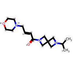 CC(C)N1CC2(CN(C(=O)/C=C/CN3CCOCC3)C2)C1